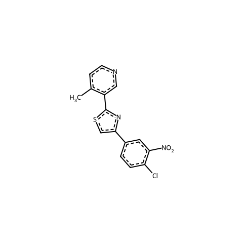 Cc1ccncc1-c1nc(-c2ccc(Cl)c([N+](=O)[O-])c2)cs1